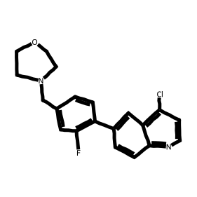 Fc1cc(CN2CCOCC2)ccc1-c1ccc2nccc(Cl)c2c1